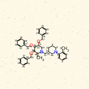 Cc1ccccc1N1CCC[C@H](CN2C[C@H](OCc3ccccc3)[C@@H](OCc3ccccc3)[C@H](OCc3ccccc3)[C@H]2C)C1